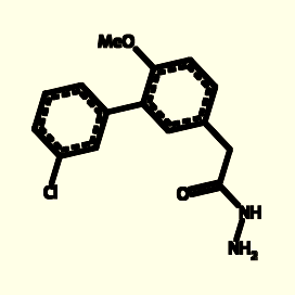 COc1ccc(CC(=O)NN)cc1-c1cccc(Cl)c1